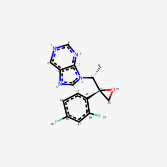 C[C@@H](n1cnc2cncnc21)[C@@]1(c2ccc(F)cc2F)CO1